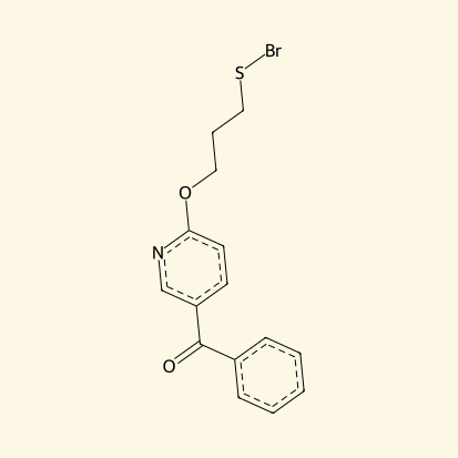 O=C(c1ccccc1)c1ccc(OCCCSBr)nc1